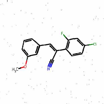 COc1cccc(/C=C(\C#N)c2ccc(Cl)cc2F)c1